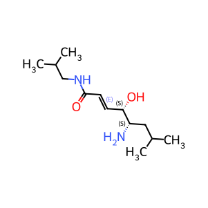 CC(C)CNC(=O)/C=C/[C@H](O)[C@@H](N)CC(C)C